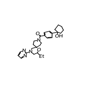 CCC1CN(c2ncccn2)CC2(CCN(C(=O)c3ccc(C4(O)CCCCC4)cc3)CC2)O1